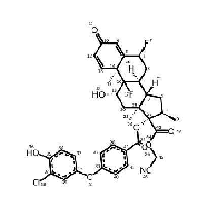 C[C@@H]1C[C@H]2[C@@H]3C[C@H](F)C4=CC(=O)C=C[C@]4(C)C3(F)[C@@H](O)C[C@]2(C)[C@]1(OC(=O)c1ccc(Oc2ccc(O)c(Cl)c2)cc1)C(=O)OCC#N